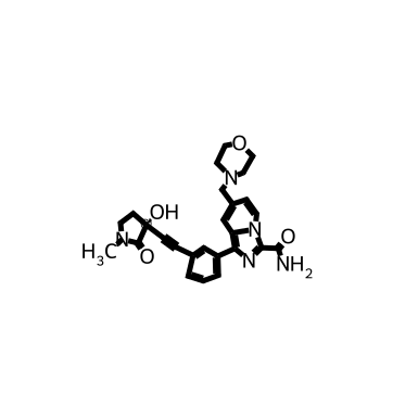 CN1CC[C@@](O)(C#Cc2cccc(-c3nc(C(N)=O)n4ccc(CN5CCOCC5)cc34)c2)C1=O